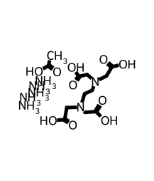 CC(=O)O.N.N.N.N.N.O=C(O)CN(CCN(CC(=O)O)CC(=O)O)CC(=O)O